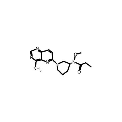 CCC(=O)N(OC)[C@@H]1CCCN(c2ccc3ncnc(N)c3n2)C1